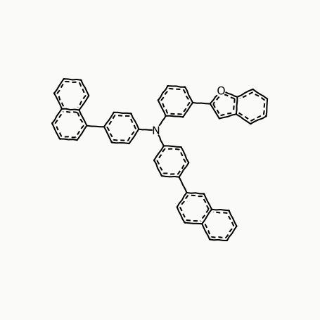 c1cc(-c2cc3ccccc3o2)cc(N(c2ccc(-c3ccc4ccccc4c3)cc2)c2ccc(-c3cccc4ccccc34)cc2)c1